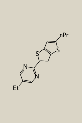 CCCc1cc2sc(-c3ncc(CC)cn3)cc2s1